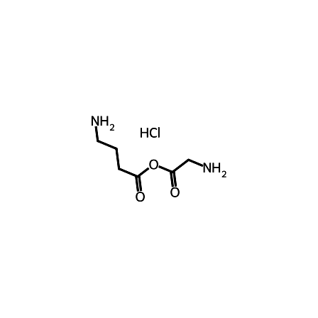 Cl.NCCCC(=O)OC(=O)CN